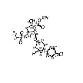 CC(C)OC(=O)N1[C@H](C)C[C@H](NS(=O)(=O)CF)[C@@H]1CO[C@H]1CC[C@@]2(c3ncc(Cl)cn3)C[C@H]2C1